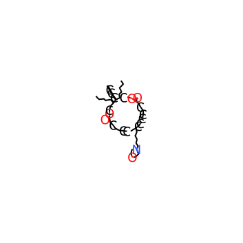 C=C=C=C=C1C(CCCCC)CCOC(=O)CCCCCCCC(CCCCCN2CCOCC2)CCCCCCCC(=O)OCCC1CCCCC